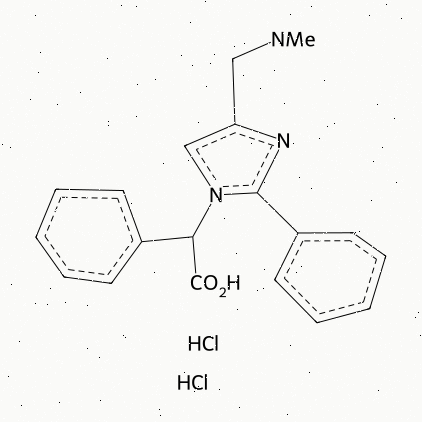 CNCc1cn(C(C(=O)O)c2ccccc2)c(-c2ccccc2)n1.Cl.Cl